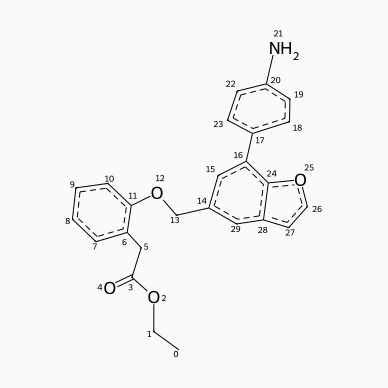 CCOC(=O)Cc1ccccc1OCc1cc(-c2ccc(N)cc2)c2occc2c1